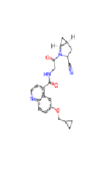 N#C[C@@H]1C[C@@H]2C[C@@H]2N1C(=O)CNC(=O)c1ccnc2ccc(OCC3CC3)cc12